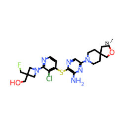 C[C@H]1CC2(CCN(c3cnc(Sc4ccnc(N5CC(CO)(CF)C5)c4Cl)c(N)n3)CC2)CO1